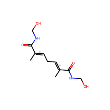 C/C(=C\C/C=C(\C)C(=O)NCO)C(=O)NCO